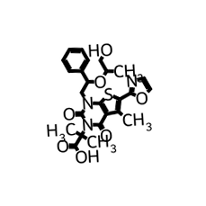 Cc1c(-c2ncco2)sc2c1c(=O)n(C(C)(C)C(=O)O)c(=O)n2CC(OC(C)CO)c1ccccc1